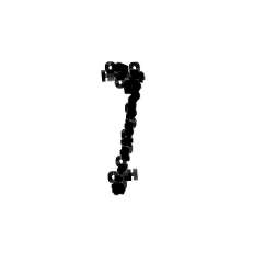 Cn1c(=O)n(C2CCC(=O)NC2=O)c2ccc(CCCOCCOCCOCCOCCOCCNC(=O)OC(C)(C)C)cc21